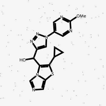 COc1ncc(-n2cc(C(O)c3c(C4CC4)sc4cncn34)nn2)cn1